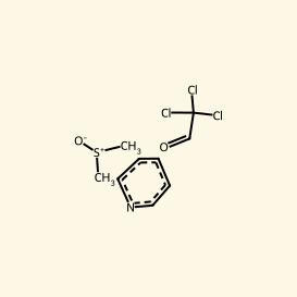 C[S+](C)[O-].O=CC(Cl)(Cl)Cl.c1ccncc1